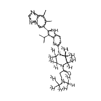 [2H]C([2H])([2H])N(CC(=O)N1C([2H])([2H])C([2H])([2H])N(c2ccc3[nH]c(-c4cn5ncnc5c(C)c4C)c(C(C)C)c3n2)C([2H])([2H])C1([2H])[2H])C([2H])([2H])[2H]